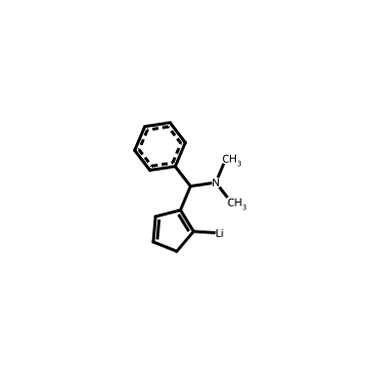 [Li][C]1=C(C(c2ccccc2)N(C)C)C=CC1